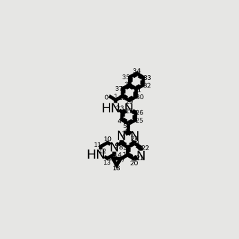 CC(Nc1cc(-c2nc(N3CCNCC3)c3c(C4CC4)cncc3n2)ccn1)c1ccc2ccccc2c1